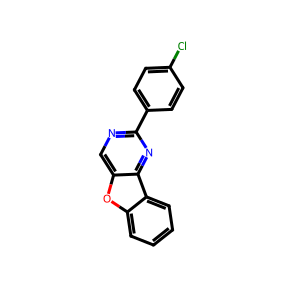 Clc1ccc(-c2ncc3oc4ccccc4c3n2)cc1